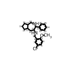 COc1ccc(Cl)cc1CNC1CC2CCCC2CNC1c1ccccc1